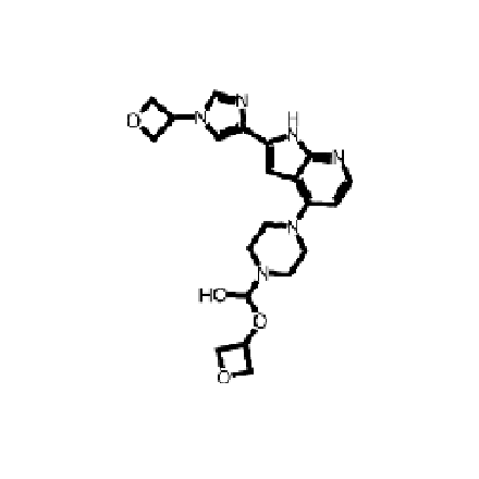 OC(OC1COC1)N1CCN(c2ccnc3[nH]c(-c4cn(C5COC5)cn4)cc23)CC1